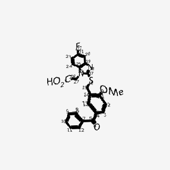 COc1ccc(C(=O)c2ccccc2)cc1CSc1nc2cc(F)ccc2n1CC(=O)O